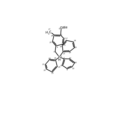 COc1ccc(C[PH](c2ccccc2)(c2ccccc2)c2ccccc2)cc1C